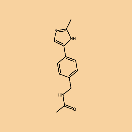 CC(=O)NCc1ccc(-c2cnc(C)[nH]2)cc1